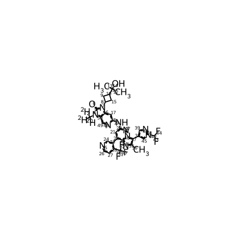 [2H]C([2H])([2H])n1c(=O)n(C2CC(C(C)(C)O)C2)c2cc(Nc3cc(-c4cnccc4C(F)(F)F)c4nc(C)c(-c5cnn(C(F)F)c5)n4n3)ncc21